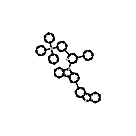 c1ccc(-c2cc(-c3cccc([Si](c4ccccc4)(c4ccccc4)c4ccccc4)c3)nc(-n3c4ccccc4c4cc(-c5ccc6oc7ccccc7c6c5)ccc43)c2)cc1